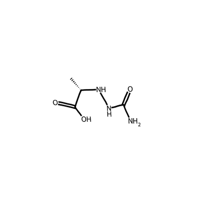 C[C@H](NNC(N)=O)C(=O)O